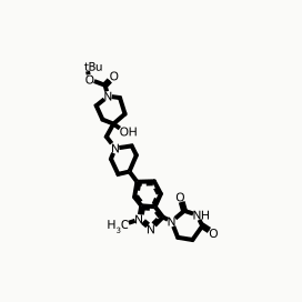 Cn1nc(N2CCC(=O)NC2=O)c2ccc(C3CCN(CC4(O)CCN(C(=O)OC(C)(C)C)CC4)CC3)cc21